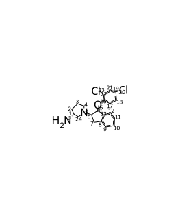 N[C@@H]1CCCN([C@@H]2Cc3ccccc3[C@H]2Oc2ccc(Cl)cc2Cl)C1